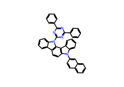 c1ccc(-c2nc(-c3ccccc3)nc(-n3c4ccccc4c4ccc5c(c6ccccc6n5-c5ccc6ccccc6c5)c43)n2)cc1